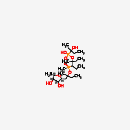 B[C@@H]1O[C@H](CC(C)(CC)OP(C)(=O)C(CC)C(C)(CC)OP(=O)(O)C(O)(CC)CC)[C@@H](O)[C@H]1O